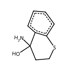 NC1(O)CCSc2ccccc21